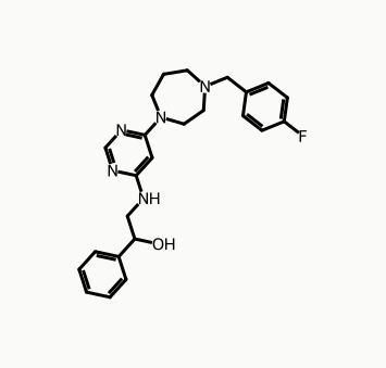 OC(CNc1cc(N2CCCN(Cc3ccc(F)cc3)CC2)ncn1)c1ccccc1